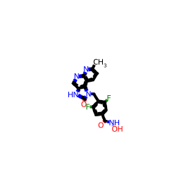 Cc1ccc2c(ncc3[nH]c(=O)n(Cc4c(F)cc(C(=O)NO)cc4F)c32)n1